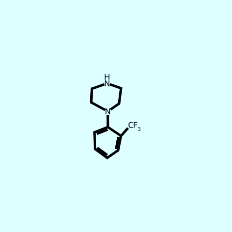 FC(F)(F)c1ccccc1N1CCNCC1